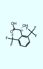 O=C(O)[C@H](O)c1c(C(F)(F)F)cccc1C(F)(F)F